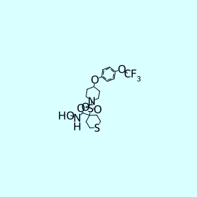 O=C(NO)C1(S(=O)(=O)N2CCC(Oc3ccc(OC(F)(F)F)cc3)CC2)CCSCC1